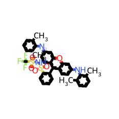 Cc1cccc(C)c1/N=c1\ccc2c(-c3ccccc3S(=O)(=O)NS(=O)(=O)C(F)(F)F)c3ccc(Nc4c(C)cccc4C)cc3oc-2c1